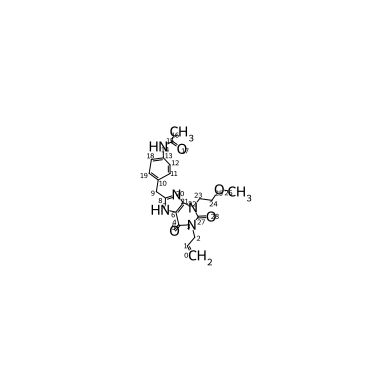 C=CCn1c(=O)c2[nH]c(Cc3ccc(NC(C)=O)cc3)nc2n(CCOC)c1=O